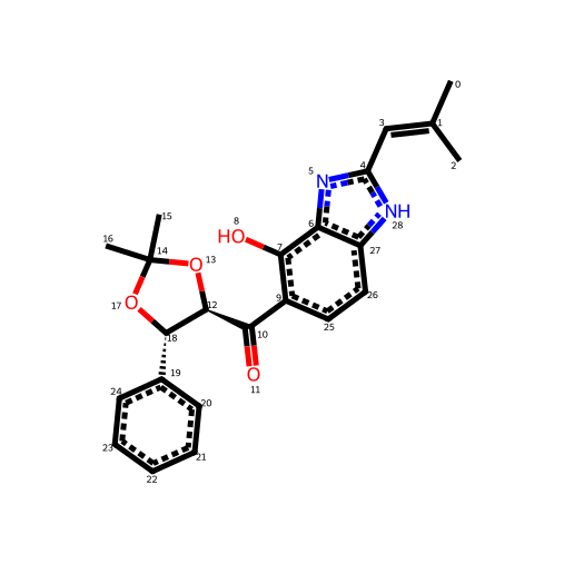 CC(C)=Cc1nc2c(O)c(C(=O)[C@@H]3OC(C)(C)O[C@H]3c3ccccc3)ccc2[nH]1